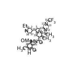 CCc1cc(-c2ccn3c(C(C)N4CCN(CC(F)(F)F)CC4)c(C)c(C(=O)NCc4c(OC)cc(C)[nH]c4=O)cc23)ccn1